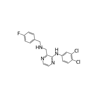 Fc1ccc(CNCc2nccnc2Nc2ccc(Cl)c(Cl)c2)cc1